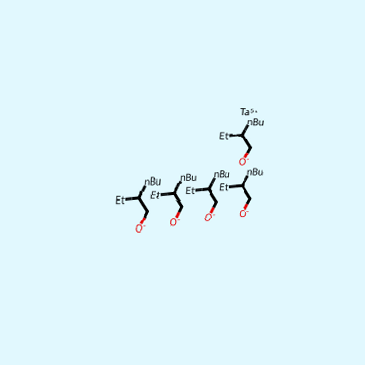 CCCCC(CC)C[O-].CCCCC(CC)C[O-].CCCCC(CC)C[O-].CCCCC(CC)C[O-].CCCCC(CC)C[O-].[Ta+5]